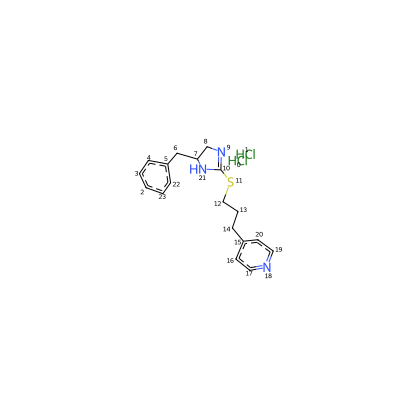 Cl.Cl.c1ccc(CC2CN=C(SCCCc3ccncc3)N2)cc1